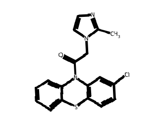 Cc1nccn1CC(=O)N1c2ccccc2Sc2ccc(Cl)cc21